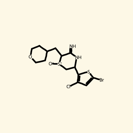 N=C1NC(c2sc(Br)cc2Cl)C[S+]([O-])C1CC1CCOCC1